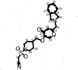 N#CCS(=O)(=O)N1CCC(COc2coc(CN3Cc4ccccc4C3)cc2=O)CC1